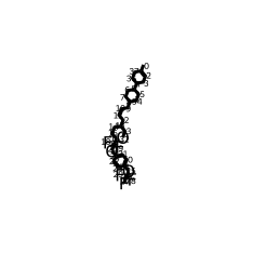 CC1=CCC(C2CCC(C/C=C\CC3CCC(C(F)(F)Oc4ccc(OC(F)(F)F)cc4)OC3)CC2)CC1